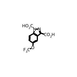 O=C(O)c1nn(C(=O)O)c2ccc(OC(F)(F)F)cc12